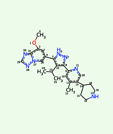 COc1cc(-c2[nH]nc(-c3cc(C)c(C4CCNCC4)cn3)c2C(C)C)cn2ncnc12